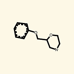 c1ccc(OCC2C[N]CCO2)cc1